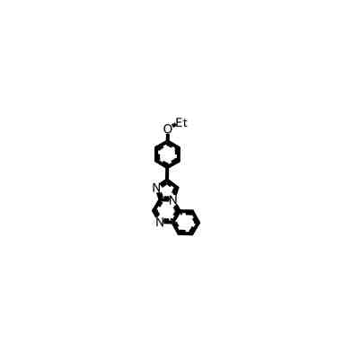 CCOc1ccc(-c2cn3c(cnc4ccccc43)n2)cc1